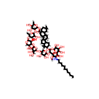 CCCCCCCCCCCCNC(=O)C(OC)C(O)C(OC1OCC(O)C(O)C1O)C(OC1OC(CO)C(O)C(O)C1O)O[C@H]1CC[C@@]2(C)C(CC[C@]3(C)C2CC=C2C4CC(C)(C)CC[C@]4(C(=O)OC4OC(C)C(O)C(O)C4OC4OC(C)C(OC5OCC(O)C(OC6OCC(O)(CO)C6O)C5O)C(O)C4O)CC[C@]23C)C1(C)C